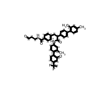 Cc1ccc(-c2ccc(C(Cc3ccc(C(=O)NCCC=O)cc3)C(=O)Nc3ccc(-c4ccc(C(F)(F)F)cc4Cl)c(C)c3)cc2)c(C)c1